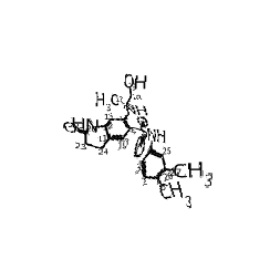 Cc1ccc(NS(=O)(=O)c2cc3c(cc2N[C@H](C)CO)NC(=O)CC3)cc1C